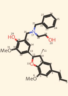 CC=Cc1cc(OC)c2c(c1)[C@@H](C)[C@H](c1cc(CN(CCO)Cc3ccccc3)c(O)c(OC)c1)O2